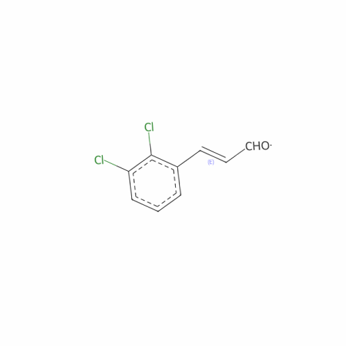 O=[C]/C=C/c1cccc(Cl)c1Cl